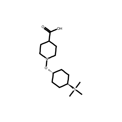 CS(C)(C)[C@H]1CC[C@H](ON2CCC(C(=O)O)CC2)CC1